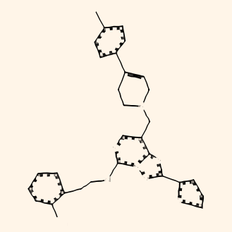 Cc1ccccc1CCNc1ncc(CN2CC=C(c3ccc(F)cc3)CC2)c2nc(-c3ccco3)nn12